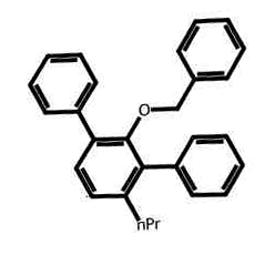 CCCc1[c]cc(-c2ccccc2)c(OCc2ccccc2)c1-c1ccccc1